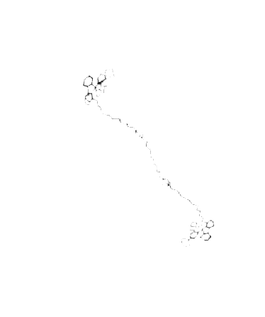 Clc1ccc(C2(Br)c3ccccc3-c3cccc(CCCCCCCCCCCCOCCCCCCCCCCCCOCCCCCCCCCCCCc4cccc5c4C(Br)(c4ccc(Cl)cc4)c4ccccc4-5)c32)cc1